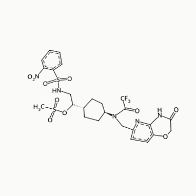 CS(=O)(=O)OC(CNS(=O)(=O)c1ccccc1[N+](=O)[O-])[C@H]1CC[C@H](N(Cc2ccc3c(n2)NC(=O)CO3)C(=O)C(F)(F)F)CC1